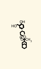 C[C@@]1(C2CC3CCCC(C3)C2)OO[C@]2(CC[C@@H](c3ccc(O)c(CO)c3)CC2)O1